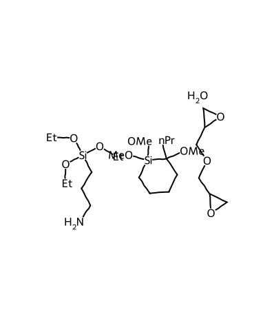 C(OCC1CO1)C1CO1.CCCC1(OC)CCCC[Si]1(OC)OC.CCO[Si](CCCN)(OCC)OCC.O